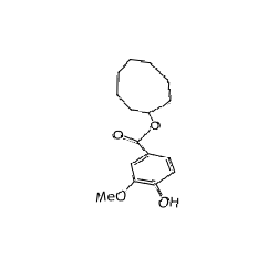 COc1cc(C(=O)OC2CCCCCCC2)ccc1O